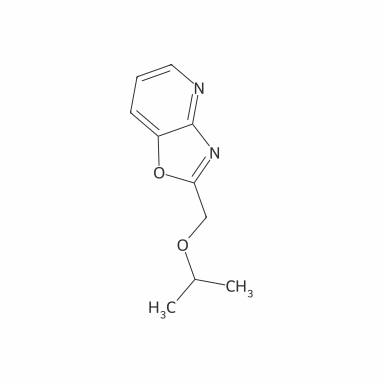 CC(C)OCc1nc2ncccc2o1